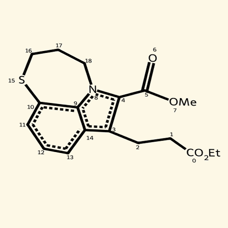 CCOC(=O)CCc1c(C(=O)OC)n2c3c(cccc13)SCCC2